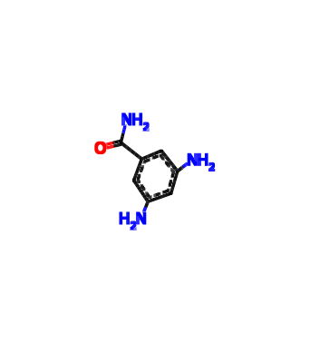 NC(=O)c1cc(N)cc(N)c1